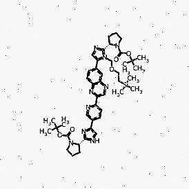 CC(C)(C)OC(=O)N1CCC[C@H]1c1nc(-c2ccc(-c3cnc4cc(-c5cnc([C@@H]6CCCN6C(=O)OC(C)(C)C)n5COCC[Si](C)(C)C)ccc4n3)nc2)c[nH]1